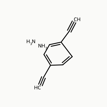 C#Cc1ccc(C#C)cc1.N.N